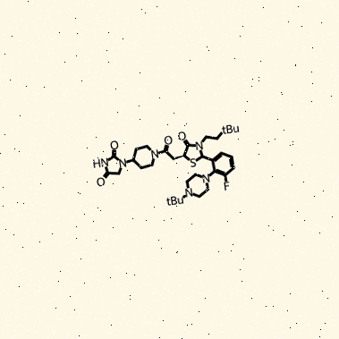 CC(C)(C)CCN1C(=O)[C@H](CC(=O)N2CCC(N3CC(=O)NC3=O)CC2)SC1c1cccc(F)c1N1CCN(C(C)(C)C)CC1